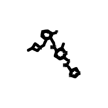 Cc1nc(SNc2cscn2)ccc1NCc1c(F)cccc1CN1CC(C)C1